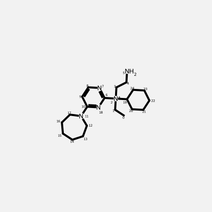 CC[N+](CCN)(c1nccc(N2CCCCCC2)n1)C1CCCCC1